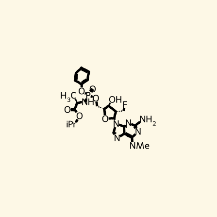 CNc1nc(N)nc2c1ncn2[C@@H]1O[C@H](COP(=O)(N[C@H](C)C(=O)OC(C)C)Oc2ccccc2)[C@@H](O)[C@@H]1CF